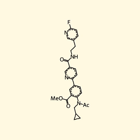 COC(=O)c1cc(-c2ccc(C(=O)NCCc3ccc(F)nc3)cn2)ccc1N(CC1CC1)C(C)=O